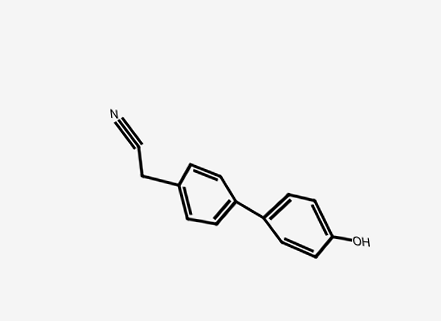 N#CCc1ccc(-c2ccc(O)cc2)cc1